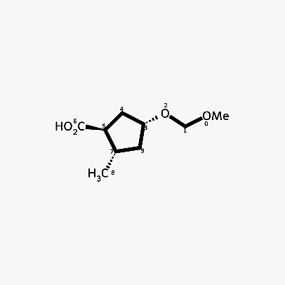 COCO[C@H]1C[C@H](C(=O)O)[C@@H](C)C1